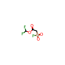 O=C(CS(=O)(=O)F)OC(F)F